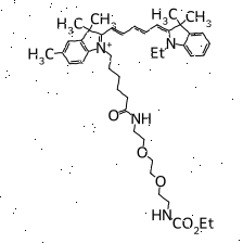 CCOC(=O)NCCOCCOCCNC(=O)CCCCC[N+]1=C(/C=C/C=C/C=C2\N(CC)c3ccccc3C2(C)C)C(C)(C)c2cc(C)ccc21